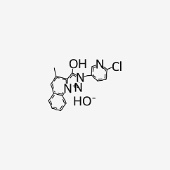 Cc1cc2ccccc2[n+]2nn(-c3ccc(Cl)nc3)c(O)c12.[OH-]